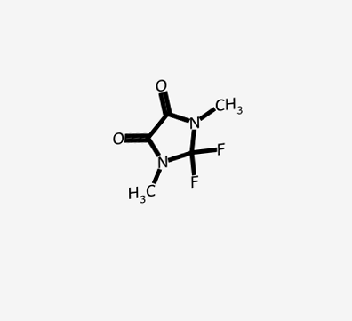 CN1C(=O)C(=O)N(C)C1(F)F